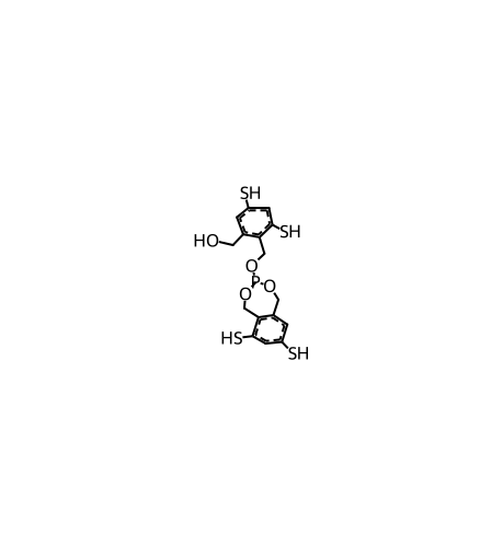 OCc1cc(S)cc(S)c1COP1OCc2cc(S)cc(S)c2CO1